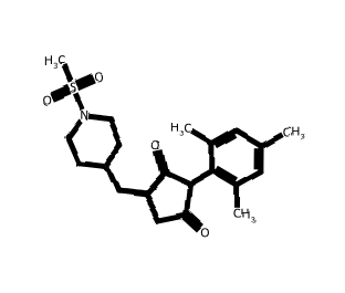 Cc1cc(C)c(C2C(=O)CC(CC3CCN(S(C)(=O)=O)CC3)C2=O)c(C)c1